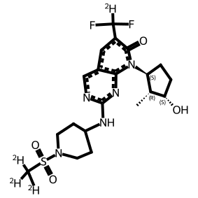 [2H]C(F)(F)c1cc2cnc(NC3CCN(S(=O)(=O)C([2H])([2H])[2H])CC3)nc2n([C@H]2CC[C@H](O)[C@@H]2C)c1=O